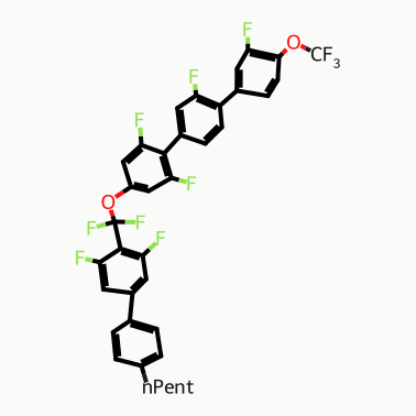 CCCCCc1ccc(-c2cc(F)c(C(F)(F)Oc3cc(F)c(-c4ccc(-c5ccc(OC(F)(F)F)c(F)c5)c(F)c4)c(F)c3)c(F)c2)cc1